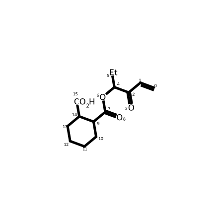 C=CC(=O)C(CC)OC(=O)C1CCCCC1C(=O)O